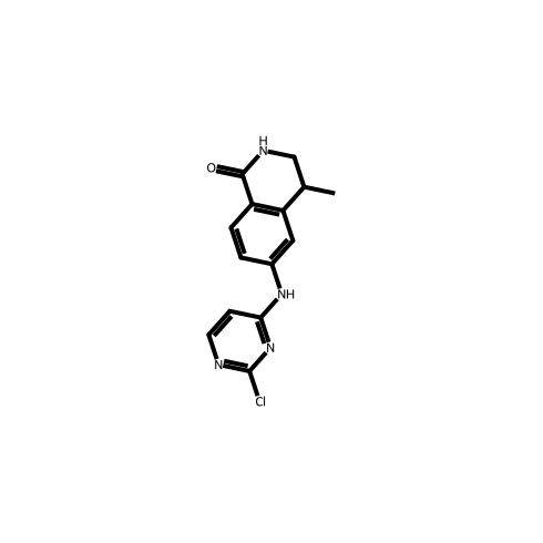 CC1CNC(=O)c2ccc(Nc3ccnc(Cl)n3)cc21